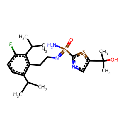 CC(C)c1ccc(F)c(C(C)C)c1CCN=S(N)(=O)c1ncc(C(C)(C)O)s1